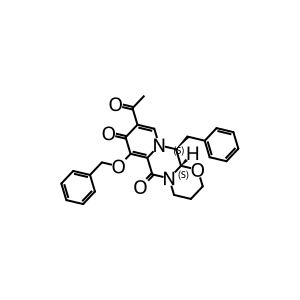 CC(=O)c1cn2c(c(OCc3ccccc3)c1=O)C(=O)N1CCCO[C@H]1[C@@H]2Cc1ccccc1